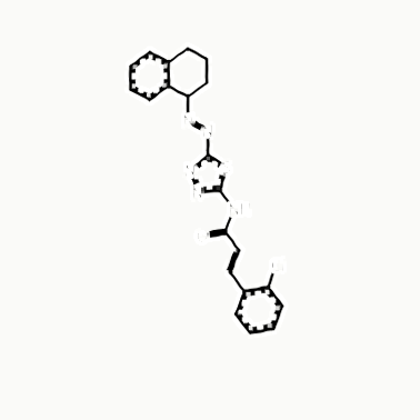 O=C(/C=C/c1ccccc1Cl)Nc1nnc(/N=N/C2CCCc3ccccc32)s1